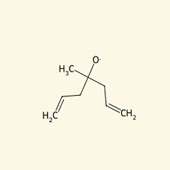 C=CCC(C)([O])CC=C